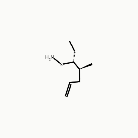 C=CC[C@H](C)[C@@H](CC)SN